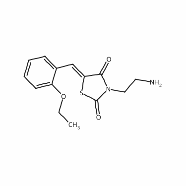 CCOc1ccccc1C=C1SC(=O)N(CCN)C1=O